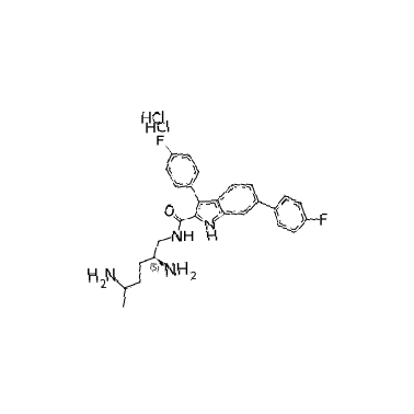 CC(N)CC[C@H](N)CNC(=O)c1[nH]c2cc(-c3ccc(F)cc3)ccc2c1-c1ccc(F)cc1.Cl.Cl